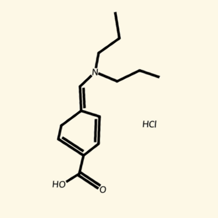 CCCN(C=C1C=CC(C(=O)O)=CC1)CCC.Cl